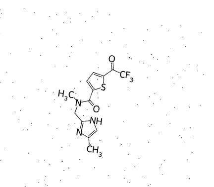 Cc1c[nH]c(CN(C)C(=O)c2ccc(C(=O)C(F)(F)F)s2)n1